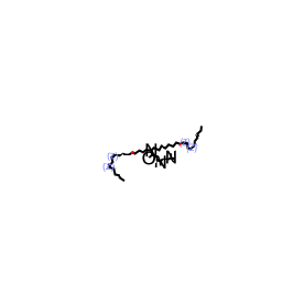 CCCCC/C=C\C/C=C\CCCCCCCCN(CCCCCCCC/C=C\C/C=C\CCCCC)C(=O)CCN(C)CCN(C)C